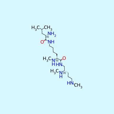 CNCCC[C@@H](CNC(=O)[C@H](CCCCNC(=O)[C@@H](N)CC(C)C)NC)NC